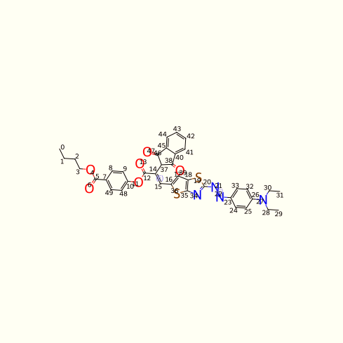 CCCCOC(=O)c1ccc(OC(=O)/C(=C/c2cc3sc(/N=N/c4ccc(N(CC)CC)cc4)nc3s2)C2C(=O)c3ccccc3C2=O)cc1